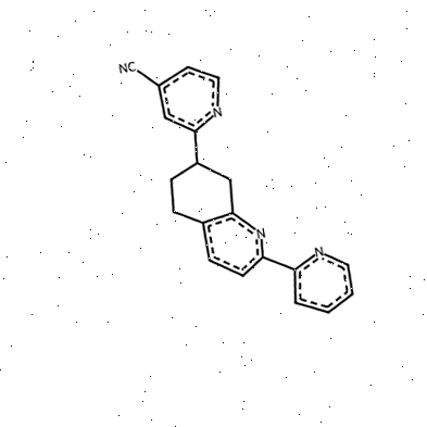 N#Cc1ccnc(C2CCc3ccc(-c4ccccn4)nc3C2)c1